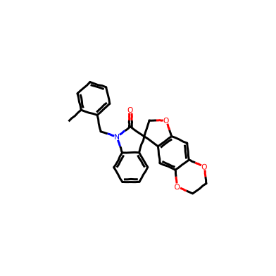 Cc1ccccc1CN1C(=O)C2(COc3cc4c(cc32)OCCO4)c2ccccc21